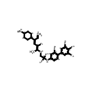 C=C/C(=C\C(F)=C(/C)OCC(F)(F)Oc1ccc(-c2cc(F)c(F)c(F)c2)c(F)c1)C1CCC(CCC)CC1